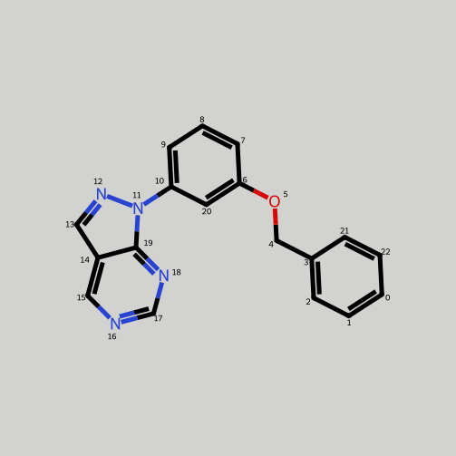 c1ccc(COc2cccc(-n3ncc4cncnc43)c2)cc1